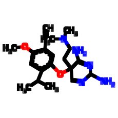 C#Cc1cc(OC2(CCN(C)C)C=NC(N)N=C2N)c(C(C)C)cc1OC